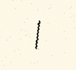 [CH2]CCCC=CCCCCCCCCCC=CC